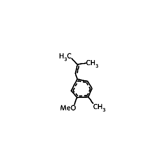 COc1cc(C=C(C)C)ccc1C